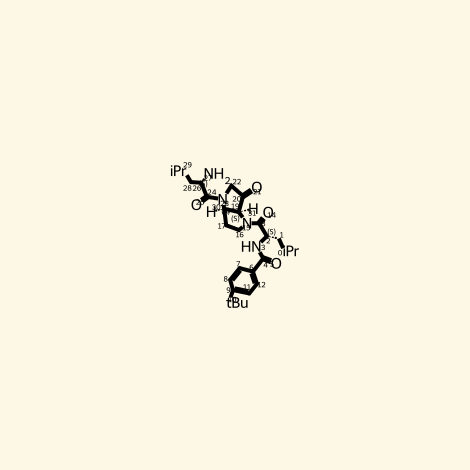 CC(C)C[C@H](NC(=O)c1ccc(C(C)(C)C)cc1)C(=O)N1CC[C@@H]2[C@H]1C(=O)CN2C(=O)[C@@H](N)CC(C)C